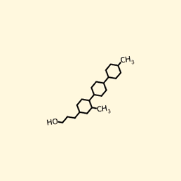 CC1CCC(C2CCC(C3CCC(CCCO)CC3C)CC2)CC1